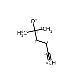 C#CCCC(C)(C)[O]